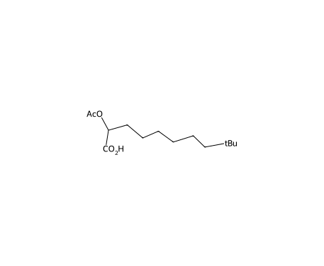 CC(=O)OC(CCCCCCC(C)(C)C)C(=O)O